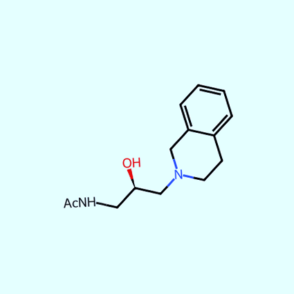 CC(=O)NC[C@@H](O)CN1CCc2ccccc2C1